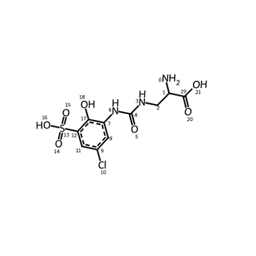 NC(CNC(=O)Nc1cc(Cl)cc(S(=O)(=O)O)c1O)C(=O)O